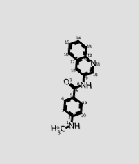 CNc1ccc(C(=O)Nc2cnc3ccccc3c2)cc1